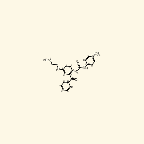 CCCCCCCCCCCCOc1ccc(OC(=O)Nc2ccc(C)cc2)c(C(=O)c2ccccc2)c1